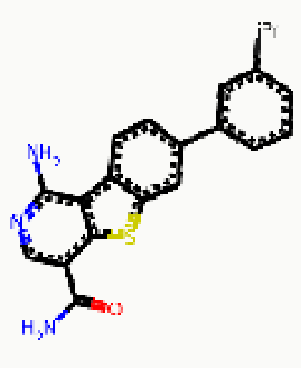 CC(C)c1cccc(-c2ccc3c(c2)sc2c(C(N)=O)cnc(N)c23)c1